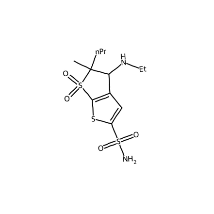 CCCC1(C)C(NCC)c2cc(S(N)(=O)=O)sc2S1(=O)=O